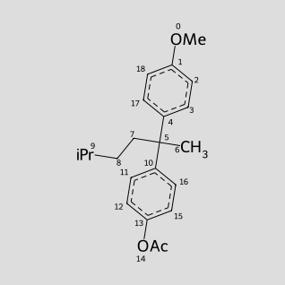 COc1ccc(C(C)(CCC(C)C)c2ccc(OC(C)=O)cc2)cc1